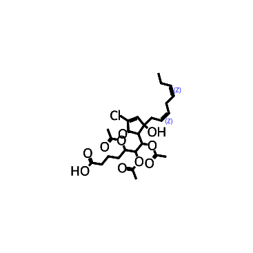 CC/C=C\C/C=C\CC1(O)C=C(Cl)C(=O)C1C(OC(C)=O)C(OC(C)=O)C(CCCC(=O)O)OC(C)=O